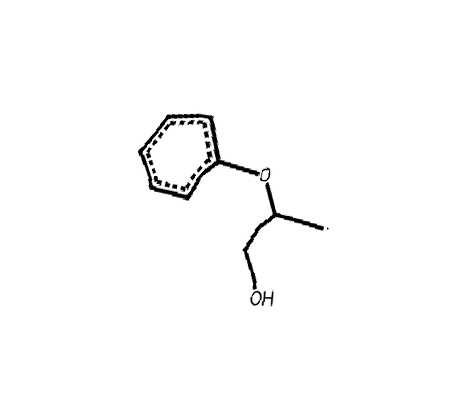 [CH2]C(CO)Oc1ccccc1